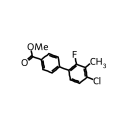 COC(=O)c1ccc(-c2ccc(Cl)c(C)c2F)cc1